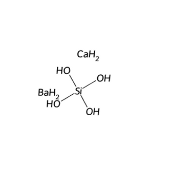 O[Si](O)(O)O.[BaH2].[CaH2]